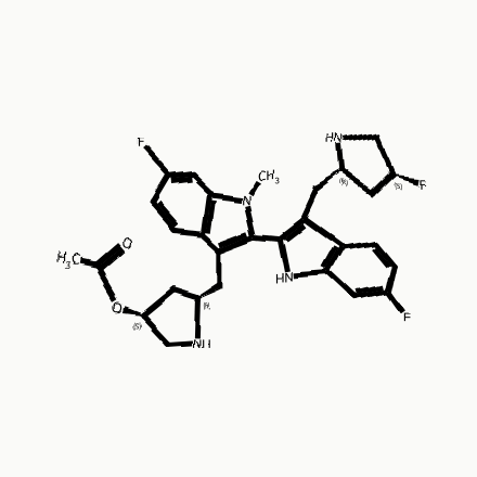 CC(=O)O[C@@H]1CN[C@H](Cc2c(-c3[nH]c4cc(F)ccc4c3C[C@@H]3C[C@H](F)CN3)n(C)c3cc(F)ccc23)C1